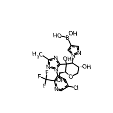 Cc1nc(C2(O)[C@H](CO)OC[C@@H](O)[C@@H]2n2cc(B(O)O)cn2)n(-c2cc(Cl)cnc2C(F)(F)F)n1